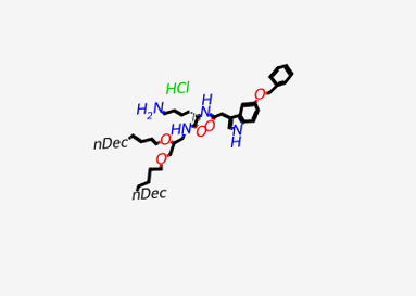 CCCCCCCCCCCCCCOCC(CNC(=O)[C@H](CCCCN)NC(=O)Cc1c[nH]c2ccc(OCc3ccccc3)cc12)OCCCCCCCCCCCCCC.Cl